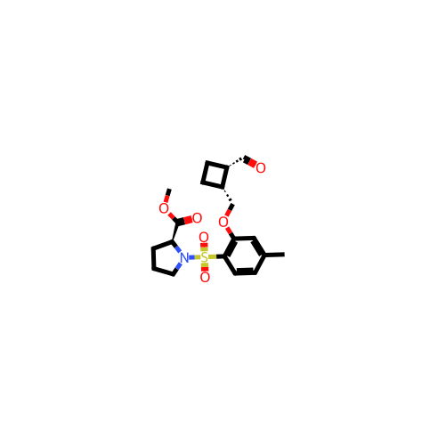 COC(=O)[C@@H]1CCCN1S(=O)(=O)c1ccc(C)cc1OC[C@@H]1CC[C@@H]1C=O